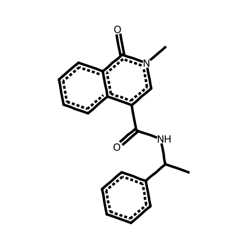 CC(NC(=O)c1cn(C)c(=O)c2ccccc12)c1ccccc1